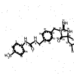 Bc1ccc(NC(=O)NCc2ccc(CN3C(=N)NC(C)(CC(C)C)C3=O)cc2)cc1